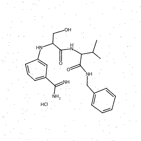 CC(C)C(NC(=O)C(CO)Nc1cccc(C(=N)N)c1)C(=O)NCc1ccccc1.Cl